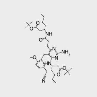 CCCC[C@@H](CC(=O)OC(C)(C)C)NC(=O)CCc1nc(N)nc(N[C@@H](CCCC)CC(=O)OC(C)(C)C)c1Cc1cc(CC#N)ccc1OC